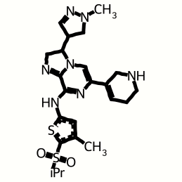 Cc1cc(NC2=NC(C3=CCCNC3)=CN3C2=NCC3C2C=NN(C)C2)sc1S(=O)(=O)C(C)C